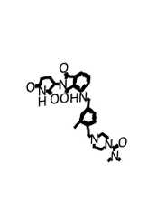 Cc1cc(CNc2cccc3c2C(=O)N(C2CCC(=O)NC2=O)C3=O)ccc1CN1CCN(C(=O)N(C)C)CC1